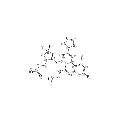 CCOC(=O)C1=C(CN2CC(F)(F)CC2CCC(=O)O)NC(c2nccs2)=N[C@H]1c1ccc(F)cc1Br